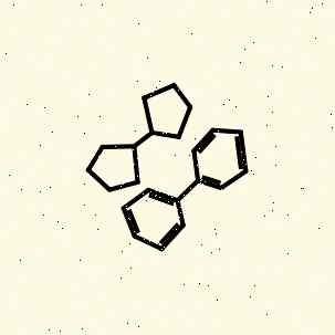 C1CCC(C2CCCC2)C1.c1ccc(-c2ccccc2)cc1